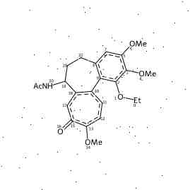 CCOc1c(OC)c(OC)cc2c1-c1ccc(OC)c(=O)cc1C(NC(C)=O)CC2